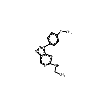 CCNc1ncc2nnn(-c3ccc(OC)cc3)c2n1